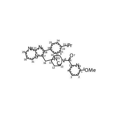 COc1cccc(C(=O)N2CC3CCC2CN3Cc2c(-c3ccc(C(C)C)cc3)nc3ncccn23)n1